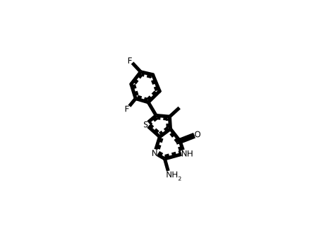 Cc1c(-c2ccc(F)cc2F)sc2nc(N)[nH]c(=O)c12